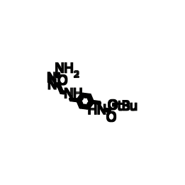 CC(C)(C)OC(=O)NCc1ccc(CNCc2nnc(N)o2)cc1